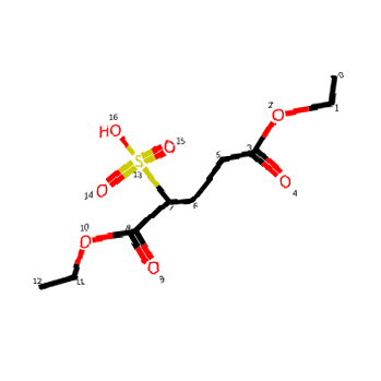 CCOC(=O)CCC(C(=O)OCC)S(=O)(=O)O